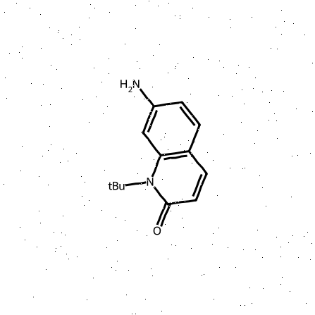 CC(C)(C)n1c(=O)ccc2ccc(N)cc21